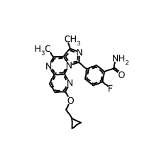 Cc1nc(-c2ccc(F)c(C(N)=O)c2)n2c1c(C)nc1ccc(OCC3CC3)nc12